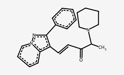 CC(C(=O)C=Cc1c(-c2ccccc2)nn2ccccc12)N1CCCCC1